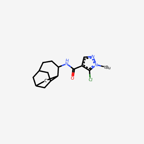 CC(C)(C)n1ncc(C(=O)NC2CCC3CC4CC(C3)C2C4)c1Cl